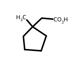 CC1(CC(=O)O)CCCC1